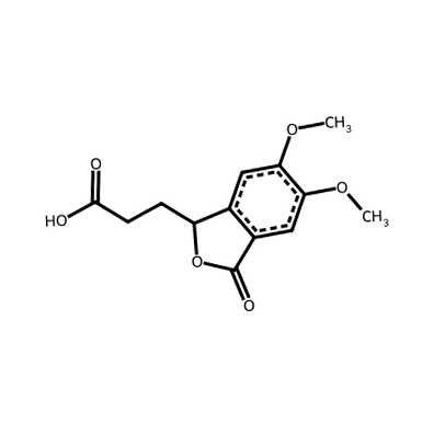 COc1cc2c(cc1OC)C(CCC(=O)O)OC2=O